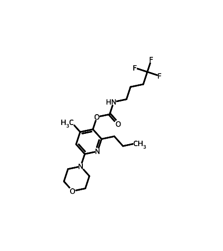 CCCc1nc(N2CCOCC2)cc(C)c1OC(=O)NCCCC(F)(F)F